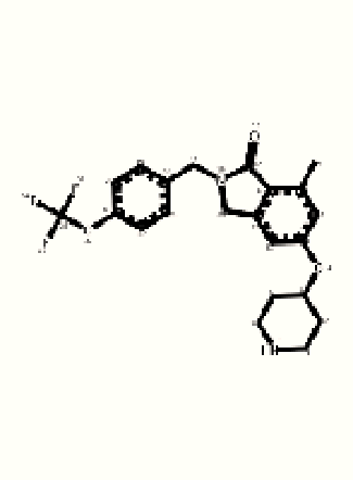 Cc1cc(OC2CCNCC2)cc2c1C(=O)N(Cc1ccc(OC(F)(F)F)cc1)C2